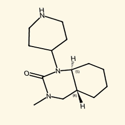 CN1C[C@H]2CCCC[C@@H]2N(C2CCNCC2)C1=O